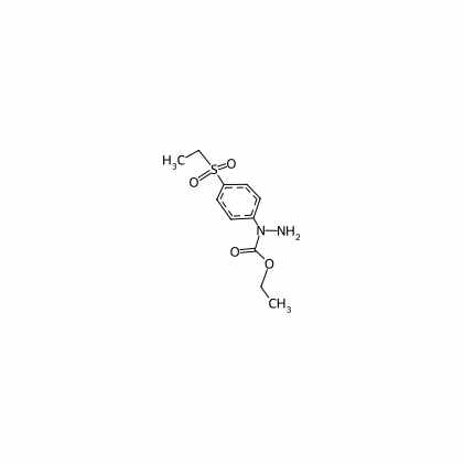 CCOC(=O)N(N)c1ccc(S(=O)(=O)CC)cc1